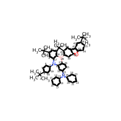 CC(C)(C)c1ccc(N2c3cc(N(c4ccccc4)c4ccccc4)ccc3B3c4cc5oc6ccc(C(C)(C)C)cc6c5cc4C(C)(C)c4cc(C(C)(C)C)cc2c43)cc1